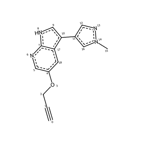 C#CCOc1cnc2[nH]cc(-c3cnn(C)c3)c2c1